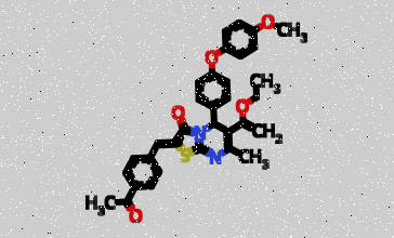 C=C(OCC)C1=C(C)N=c2s/c(=C\c3ccc(C(C)=O)cc3)c(=O)n2C1c1ccc(Oc2ccc(OC)cc2)cc1